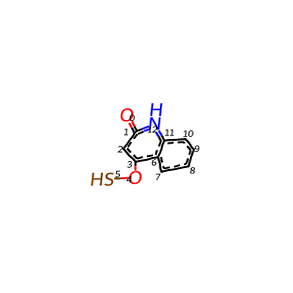 O=c1cc(OS)c2ccccc2[nH]1